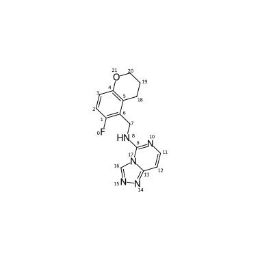 Fc1ccc2c(c1CNc1nccc3nncn13)CCCO2